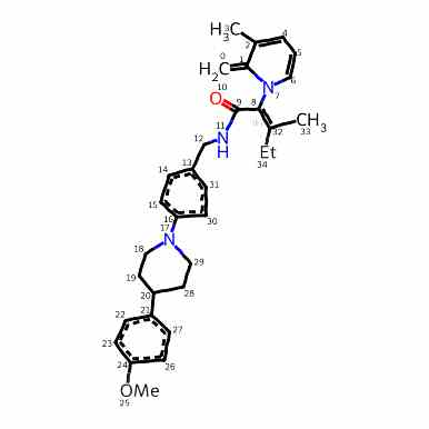 C=C1C(C)=CC=CN1/C(C(=O)NCc1ccc(N2CCC(c3ccc(OC)cc3)CC2)cc1)=C(\C)CC